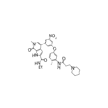 CCNC(=O)c1cc2c(-c3cc(Oc4ccc(C)c(NC(=O)CCN5CCCCC5)c4)cc([N+](=O)[O-])c3)cn(C)c(=O)c2[nH]1